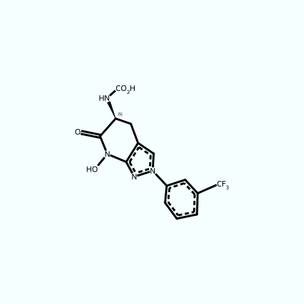 O=C(O)N[C@H]1Cc2cn(-c3cccc(C(F)(F)F)c3)nc2N(O)C1=O